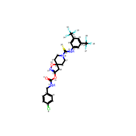 O=C(NCc1ccc(Cl)cc1)OC1=NOC2(CCN(C(=S)Nc3cc(C(F)(F)F)cc(C(F)(F)F)c3)CC2)C1